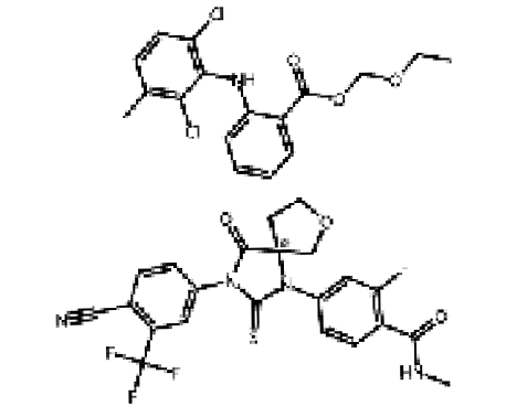 CCOCOC(=O)c1ccccc1Nc1c(Cl)ccc(C)c1Cl.CNC(=O)c1ccc(N2C(=S)N(c3ccc(C#N)c(C(F)(F)F)c3)C(=O)[C@@]23CCOC3)cc1F